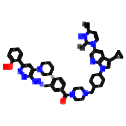 [2H]C1C=CN(c2cnc3c(c2)c(C2CC2)cn3C2CCC(CN3CCN(C(=O)c4ccc([C@H]5CCCN(c6cc(-c7ccccc7O)nnc6N)C5)c(C)c4)CC3)CC2)C([2H])N1